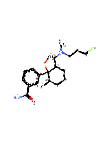 COC1(c2cccc(C(N)=O)c2)C(C)CCCC1CN(C)CCCF